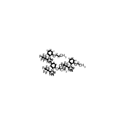 CC(C)Oc1ccccc1-n1nnnc1C(F)(F)C(F)(F)F.CCCOc1ccccc1-n1nnnc1C(F)(F)C(F)(F)F.CCOc1ccccc1-n1nnnc1C(F)(F)C(F)(F)F